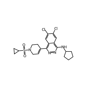 O=S(=O)(C1CC1)N1CC=C(c2nnc(NC3CCCC3)c3cc(Cl)c(Cl)cc23)CC1